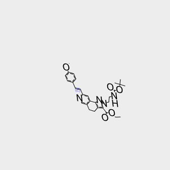 CCOC(=O)c1c2c(nn1CCNC(=O)OC(C)(C)C)-c1cc(/C=C/c3ccc(OC)cc3)ncc1CC2